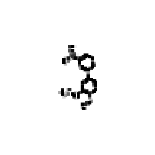 COc1cc(-c2cccc([N+](=O)[O-])c2)ccc1C=O